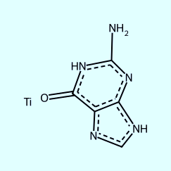 Nc1nc2[nH]cnc2c(=O)[nH]1.[Ti]